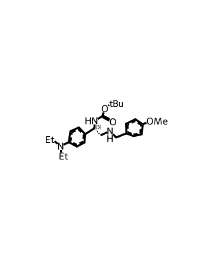 CCN(CC)c1ccc([C@@H](CNCc2ccc(OC)cc2)NC(=O)OC(C)(C)C)cc1